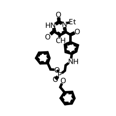 CCn1c(C(=O)c2ccc(NCCP(=O)(OCc3ccccc3)OCc3ccccc3)cc2)c(C)c(=O)[nH]c1=O